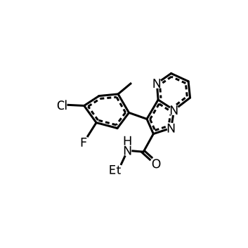 CCNC(=O)c1nn2cccnc2c1-c1cc(F)c(Cl)cc1C